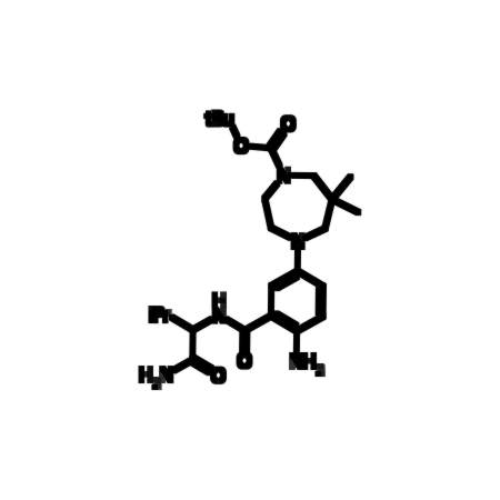 CC(C)C(NC(=O)c1cc(N2CCN(C(=O)OC(C)(C)C)CC(C)(C)C2)ccc1N)C(N)=O